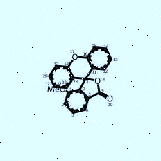 COc1cccc2c1C1(OC2=O)c2ccccc2Oc2ccccc21